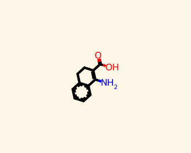 NC1=C(C(=O)O)CCc2ccccc21